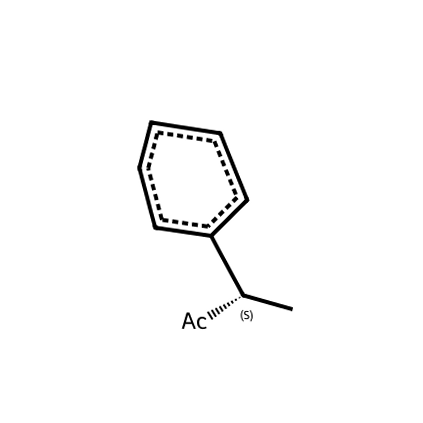 CC(=O)[C@@H](C)c1ccccc1